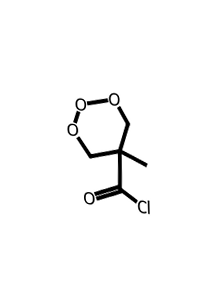 CC1(C(=O)Cl)COOOC1